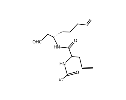 C=CCCC[C@@H](CC=O)NC(=O)C(CC=C)NC(=O)CC